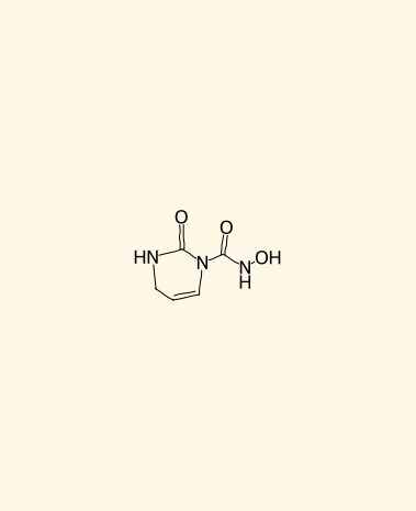 O=C(NO)N1C=CCNC1=O